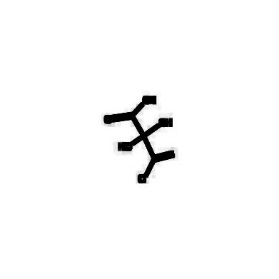 C=C(Cl)C(O)(O)C(=O)O